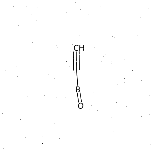 C#CB=O